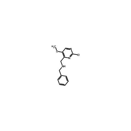 COc1cnc(Cl)nc1CNCc1ccccc1